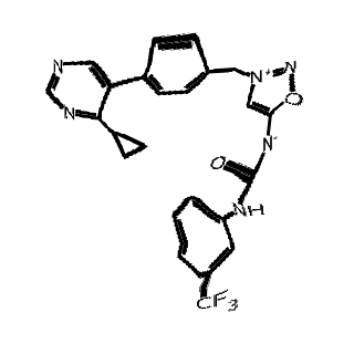 O=C([N-]c1c[n+](Cc2ccc(-c3cncnc3C3CC3)cc2)no1)Nc1cccc(C(F)(F)F)c1